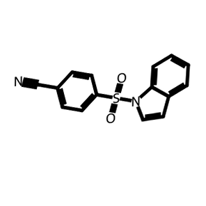 N#Cc1ccc(S(=O)(=O)n2ccc3ccccc32)cc1